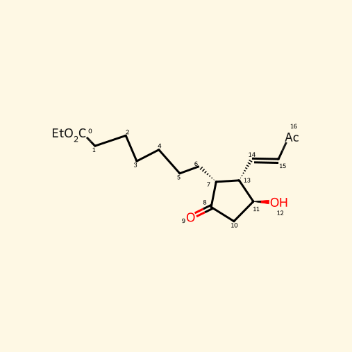 CCOC(=O)CCCCCC[C@H]1C(=O)C[C@H](O)[C@H]1C=CC(C)=O